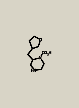 O=C(O)N1CCNCC1CC1CCOC1